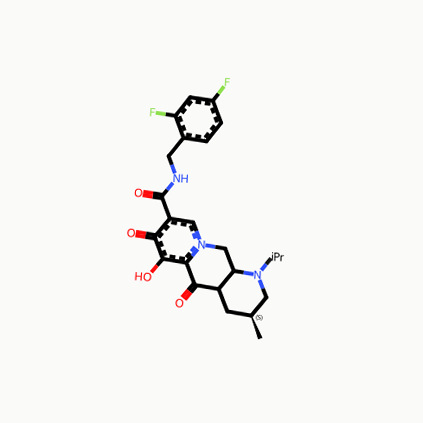 CC(C)N1C[C@@H](C)CC2C(=O)c3c(O)c(=O)c(C(=O)NCc4ccc(F)cc4F)cn3CC21